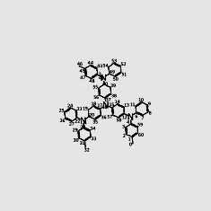 Cc1ccc(N(c2ccccc2)c2ccc(N(C3=CCC(N(c4ccccc4)c4ccc(C)cc4)C=C3)C3=CCC(N(c4ccc(C)cc4)C4C=CC=CC4)C=C3)cc2)cc1